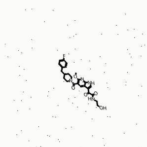 COc1nc2[nH]cc(C(=O)C(=O)NCCO)c2cc1C(=O)N1CCC(Cc2ccc(F)cc2)CC1